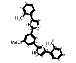 COc1cc(-c2nc(-c3ccccc3C)c[nH]2)cc(-c2nc(-c3ccccc3C)c[nH]2)c1